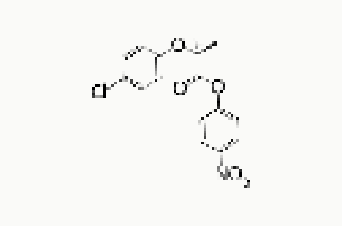 C[C@H](Oc1ccc(Cl)cc1)C(=O)Oc1ccc([N+](=O)[O-])cc1